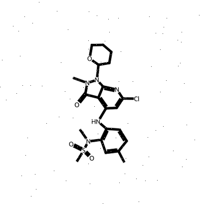 Cc1ccc(Nc2cc(Cl)nc3c2c(=O)n(C)n3C2CCCCO2)c(N(C)S(C)(=O)=O)c1